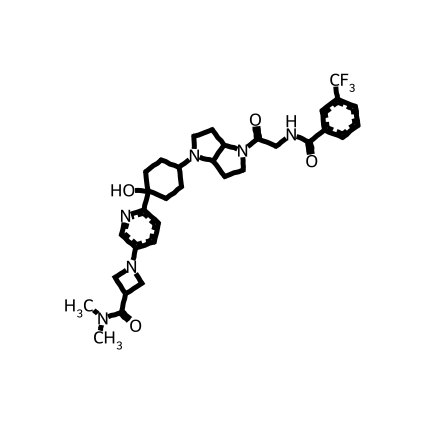 CN(C)C(=O)C1CN(c2ccc(C3(O)CCC(N4CCC5C4CCN5C(=O)CNC(=O)c4cccc(C(F)(F)F)c4)CC3)nc2)C1